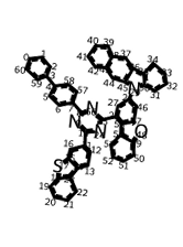 c1ccc(-c2ccc(-c3nc(-c4ccc5c(c4)sc4ccccc45)nc(-c4cc(-n5c6ccccc6c6cc7ccccc7cc65)cc5oc6ccccc6c45)n3)cc2)cc1